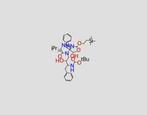 CC(C)[C@H](N)C(=O)N(CC(O)C(Cc1ccccc1)NC(=O)OC(C)(C)C)C(Cc1ccccc1)(NC(=O)OCC[Si](C)(C)C)C(C)O